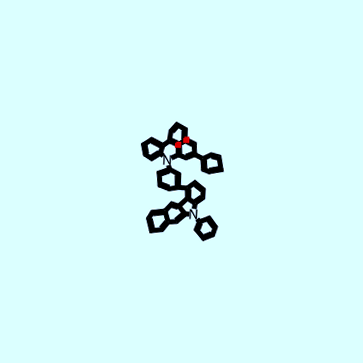 c1ccc(-c2cccc(N(c3cccc(-c4cccc5c4c4cc6ccccc6cc4n5-c4ccccc4)c3)c3ccccc3-c3ccccc3)c2)cc1